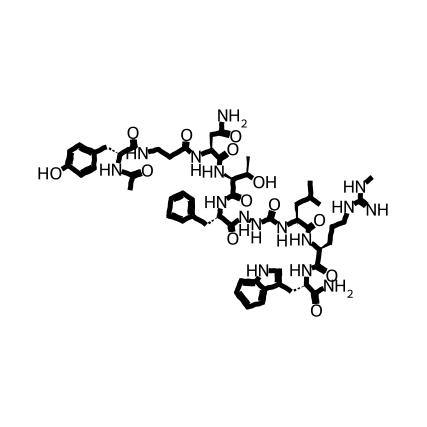 CNC(=N)NCCC[C@H](NC(=O)[C@H](CC(C)C)NC(=O)NNC(=O)[C@H](Cc1ccccc1)NC(=O)[C@@H](NC(=O)[C@H](CC(N)=O)NC(=O)CCNC(=O)[C@@H](Cc1ccc(O)cc1)NC(C)=O)[C@@H](C)O)C(=O)N[C@@H](Cc1c[nH]c2ccccc12)C(N)=O